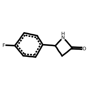 O=C1CC(c2ccc(F)cc2)N1